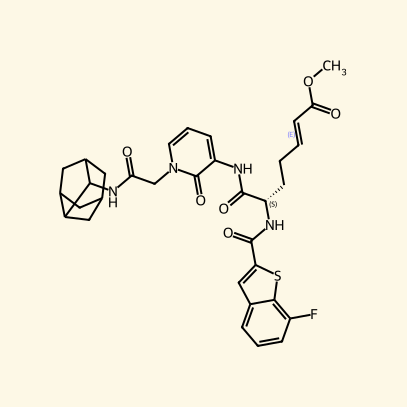 COC(=O)/C=C/CC[C@H](NC(=O)c1cc2cccc(F)c2s1)C(=O)Nc1cccn(CC(=O)NC2C3CC4CC(C3)C2C4)c1=O